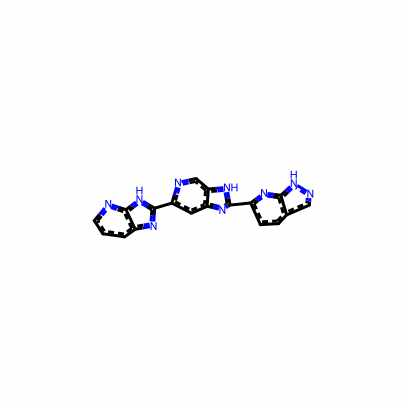 c1cnc2[nH]c(-c3cc4nc(-c5ccc6cn[nH]c6n5)[nH]c4cn3)nc2c1